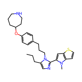 CCCc1cnc(-c2cc3sccc3n2C)n1CCCc1ccc(OC2CCCNCC2)cc1